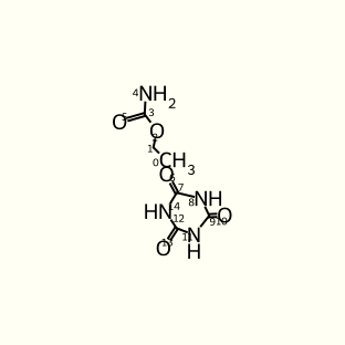 CCOC(N)=O.O=c1[nH]c(=O)[nH]c(=O)[nH]1